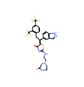 O=C1CN(CCNC2=NC(=O)C(=C(Cc3ccc(C(F)(F)F)cc3C(F)(F)F)c3ccc4[nH]ncc4c3)S2)CCN1